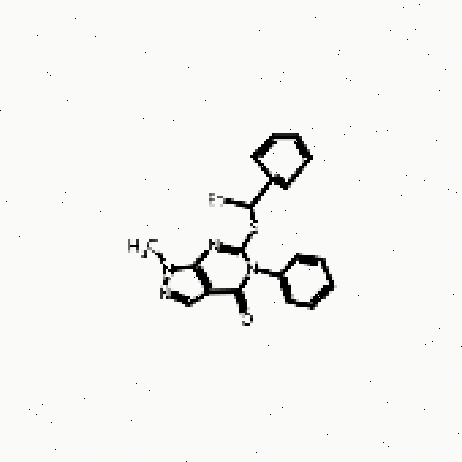 CCC(Sc1nc2c(cnn2C)c(=O)n1-c1ccccc1)c1ccccc1